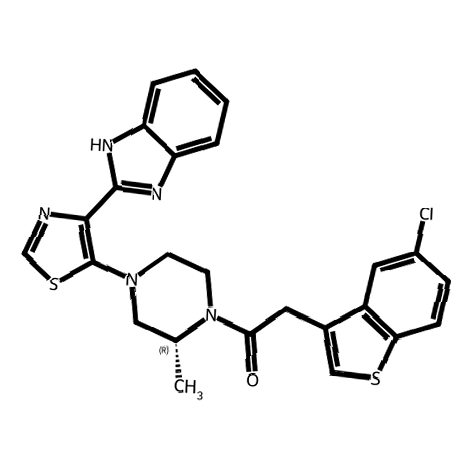 C[C@@H]1CN(c2scnc2-c2nc3ccccc3[nH]2)CCN1C(=O)Cc1csc2ccc(Cl)cc12